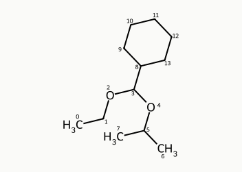 CCOC(OC(C)C)C1CCCCC1